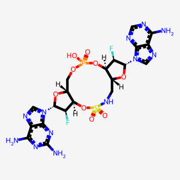 Nc1nc(N)c2ncn([C@@H]3O[C@@H]4COP(=O)(O)O[C@H]5[C@@H](F)[C@H](n6cnc7c(N)ncnc76)O[C@@H]5CNS(=O)(=O)O[C@H]4[C@H]3F)c2n1